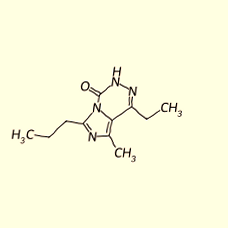 CCCc1nc(C)c2c(CC)n[nH]c(=O)n12